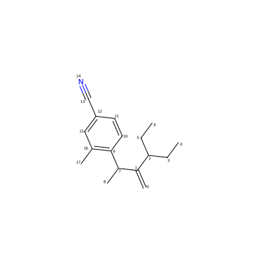 C=C(C(CC)CC)C(C)c1ccc(C#N)cc1C